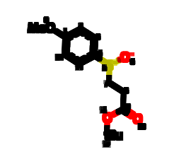 COc1ccc([S+]([O-])CCC(=O)OC(C)(C)C)cc1